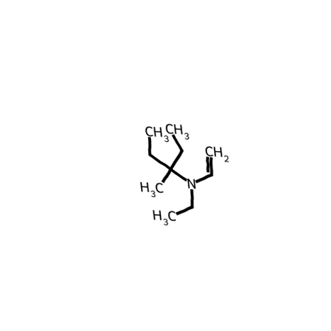 C=CN(CC)C(C)(CC)CC